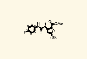 COC(=O)c1oc(C(C)(C)C)cc1NC(=O)Nc1ccc(F)cc1